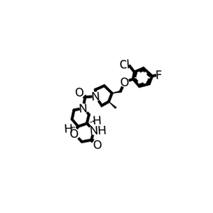 C[C@H]1CN(C(=O)N2CC[C@@H]3OCC(=O)N[C@@H]3C2)CC[C@H]1COc1ccc(F)cc1Cl